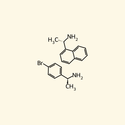 C[C@H](N)c1ccc(Br)cc1.C[C@H](N)c1cccc2ccccc12